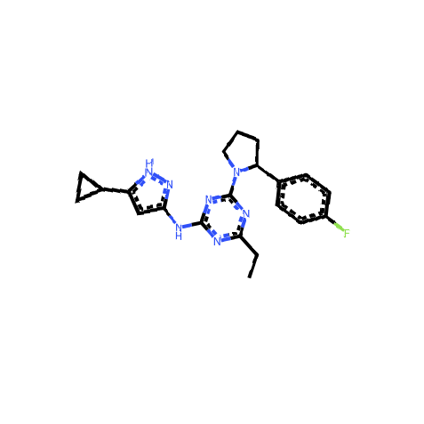 CCc1nc(Nc2cc(C3CC3)[nH]n2)nc(N2CCCC2c2ccc(F)cc2)n1